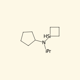 CC(C)N(C1CCCC1)[SiH]1CCC1